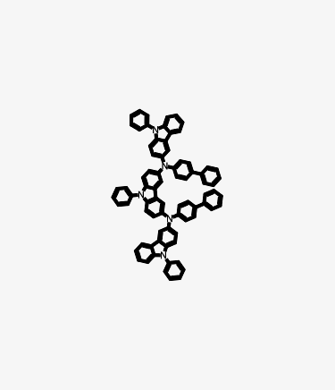 c1ccc(-c2ccc(N(c3ccc4c(c3)c3ccccc3n4-c3ccccc3)c3ccc4c(c3)c3cc(N(c5ccc(-c6ccccc6)cc5)c5ccc6c(c5)c5ccccc5n6-c5ccccc5)ccc3n4-c3ccccc3)cc2)cc1